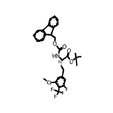 COc1cc(CC[C@H](NC(=O)OCC2c3ccccc3-c3ccccc32)C(=O)OC(C)(C)C)cc(F)c1C(F)(F)F